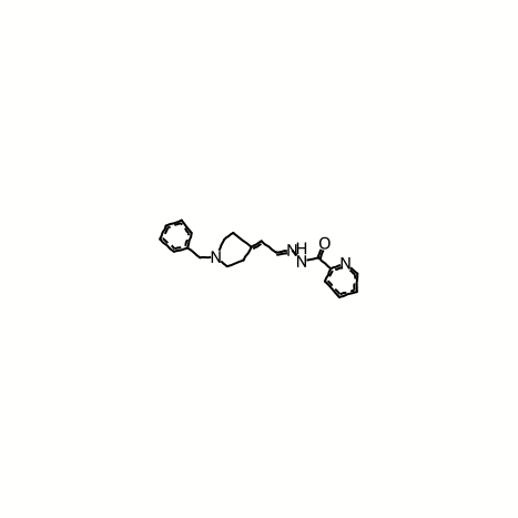 O=C(N/N=C/C=C1CCN(Cc2ccccc2)CC1)c1ccccn1